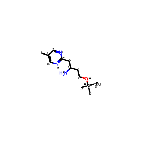 Cc1cnc(CC(N)CCO[Si](C)(C)C(C)(C)C)nc1